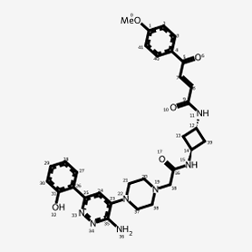 COc1ccc(C(=O)/C=C/C(=O)N[C@H]2C[C@H](NC(=O)CN3CCN(c4cc(-c5ccccc5O)nnc4N)CC3)C2)cc1